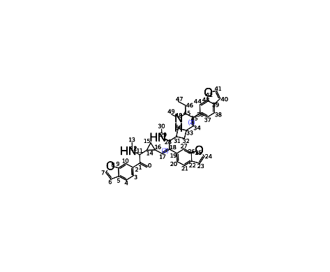 C=C(c1ccc2ccoc2c1)C(NC)C1CC1/C=C(/c1ccc2ccoc2c1)C(NC)C1CC(/C=C(/c2ccc3ccoc3c2)C(CC)NC)C1